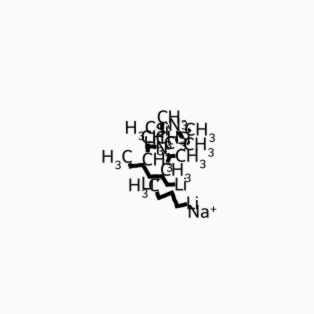 CC(C)[N-]C(C)C.C[Si](C)(C)[N-][Si](C)(C)C.[Li+].[Li][CH2]CCC.[Li][CH2]CCCCC.[Na+]